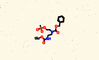 CC(C)(C)OC(=O)NCCN(CCOS(C)(=O)=O)C(=O)OCc1ccccc1